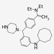 C=C(c1ccc([C@H](c2cccc(NC3CCCCCCC3)c2)N2CCNCC2)cc1)N(CC)CC